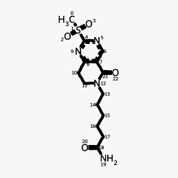 CS(=O)(=O)c1ncc2c(n1)CCN(CCCCCC(N)=O)C2=O